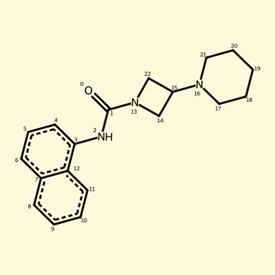 O=C(Nc1cccc2ccccc12)N1CC(N2CCCCC2)C1